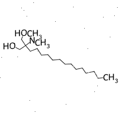 CCCCCCCCCCCCCCC(CO)(CO)N(C)C